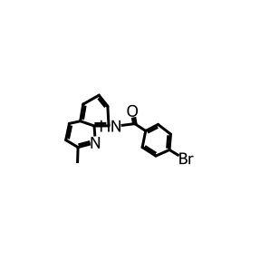 Cc1ccc2cccc(NC(=O)c3ccc(Br)cc3)c2n1